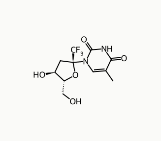 Cc1cn([C@@]2(C(F)(F)F)C[C@H](O)[C@@H](CO)O2)c(=O)[nH]c1=O